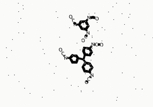 O=C=Nc1cc(N=C=O)cc(N=C=O)c1.O=C=Nc1ccc(C(c2ccc(N=C=O)cc2)c2ccc(N=C=O)cc2)cc1